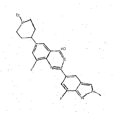 CCN1CCC(c2cc(F)c3nc(-c4cc(F)c5nn(C)cc5c4)ncc3c2)CC1.Cl